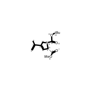 C=C(C)C1=C[C@@H](C(=O)OC)N(C(=O)OC(C)(C)C)C1